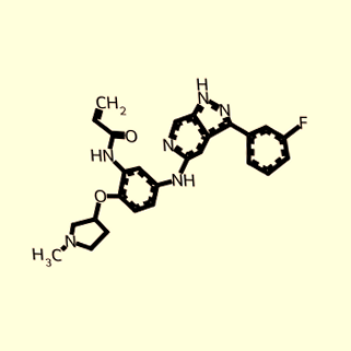 C=CC(=O)Nc1cc(Nc2cc3c(-c4cccc(F)c4)n[nH]c3cn2)ccc1OC1CCN(C)C1